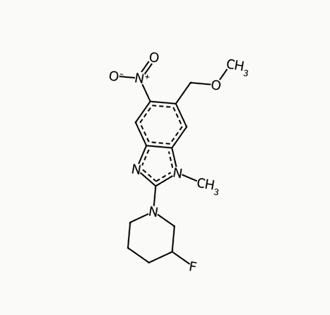 COCc1cc2c(cc1[N+](=O)[O-])nc(N1CCCC(F)C1)n2C